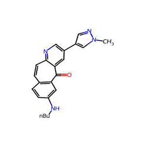 CCCCNc1ccc2ccc3ncc(-c4cnn(C)c4)cc3c(=O)c2c1